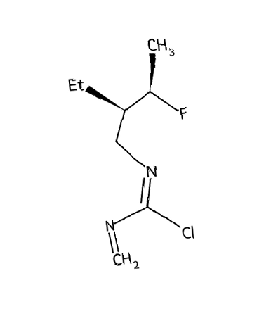 C=N/C(Cl)=N\C[C@@H](CC)[C@@H](C)F